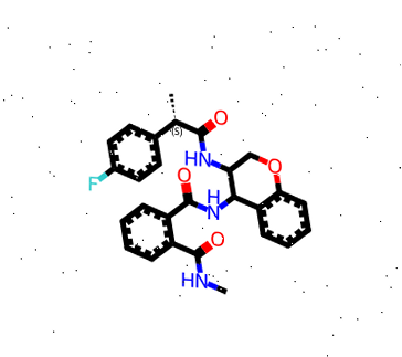 CNC(=O)c1ccccc1C(=O)NC1c2ccccc2OCC1NC(=O)[C@@H](C)c1ccc(F)cc1